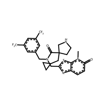 Cn1c(=O)ccc2nc(CN(Cc3cc(C(F)(F)F)cc(C(F)(F)F)c3)C(=O)C3(CC4CC4)CCNC3)sc21